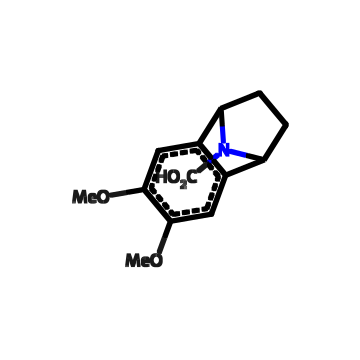 COc1cc2c(cc1OC)C1CCC2N1C(=O)O